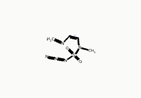 C=N/C=C\N(C)S(=O)(=O)N=[N+]=[N-]